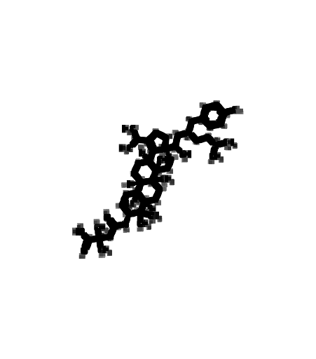 CC(C)C1=C2[C@H]3CC[C@@H]4[C@@]5(C)CC[C@H](OC(=O)CC(C)(C)C(=O)O)C(C)(C)[C@@H]5CC[C@@]4(C)[C@]3(C)CC[C@@]2([C@H](O)CN(CCN(C)C)Cc2ccc(Cl)cc2)CC1